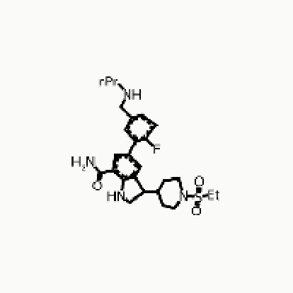 CCCNCc1ccc(F)c(-c2cc(C(N)=O)c3c(c2)C(C2CCN(S(=O)(=O)CC)CC2)CN3)c1